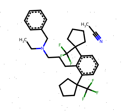 CC#N.CCN(CCCc1c(C2(C(F)(F)F)CCCC2)cccc1C1(C(F)(F)F)CCCC1)Cc1ccccc1